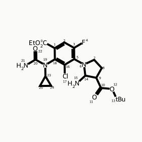 CCOC(=O)c1cc(F)c(N2CCC(C(=O)OC(C)(C)C)C2N)c(Cl)c1N(C(N)=O)C1CC1